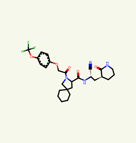 N#C[C@H](C[C@@H]1CCCNC1=O)NC(=O)C1CC2(CCCCC2)CN1C(=O)COc1ccc(OC(F)(F)F)cc1